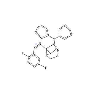 Fc1ccc(F)c(/C=N\C2C3CCN(CC3)C2C(c2ccccc2)c2ccccc2)c1